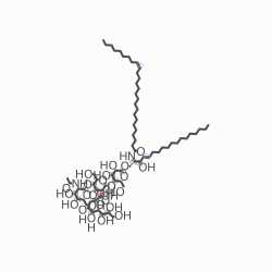 CCCCCCCC/C=C\CCCCCCCCCCCCCCCC(=O)N[C@@H](CO[C@@H]1OC(CO)[C@@H](O[C@@H]2OC(CO)[C@H](O[C@@H]3OC(CO)[C@H](O)[C@H](O)C3NC(C)=O)[C@H](O[C@]3(C(=O)O)CC(O)[C@@H](O)C([C@H](O)[C@H](O)CO)O3)C2O)[C@H](O)C1O)[C@H](O)/C=C/CCCCCCCCCCCCC